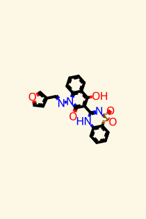 O=c1c(C2=NS(=O)(=O)c3ccccc3N2)c(O)c2ccccc2n1N=Cc1ccoc1